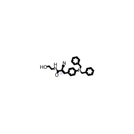 N#C/C(=C\c1ccc(N(Cc2ccccc2)Cc2ccccc2)cc1)C(=O)NCCO